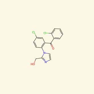 O=C(c1ccccc1Cl)c1cc(Cl)ccc1-n1ccnc1CO